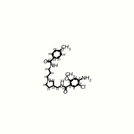 COc1cc(N)c(Cl)cc1C(=O)NCC1CCN(CCCNC(=O)c2ccc(C)cc2)C1